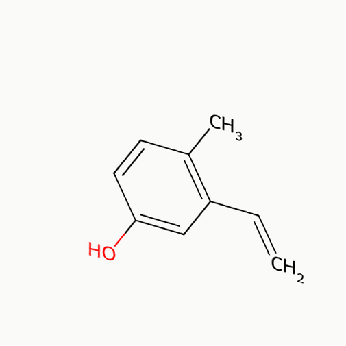 C=Cc1cc(O)ccc1C